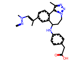 C=NN(C)/C=C(\C)c1ccc2c(c1)C(Nc1ccc(CC(=O)O)cc1)CCn1nnc(C)c1-2